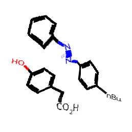 CCCCc1ccc(/N=N/c2ccccc2)cc1.O=C(O)Cc1ccc(O)cc1